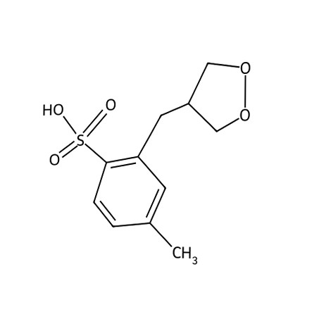 Cc1ccc(S(=O)(=O)O)c(CC2COOC2)c1